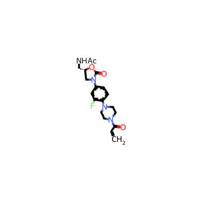 C=CC(=O)N1CCN(c2ccc(N3C[C@H](CNC(C)=O)OC3=O)cc2F)CC1